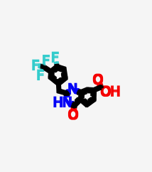 O=C(O)c1ccc2c(=O)[nH]c(Cc3ccc(F)c(C(F)(F)F)c3)nc2c1